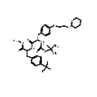 COC(=O)C(Cc1ccc(C(F)(F)F)cc1)NC(=O)[C@H](Cc1ccc(OCCOC2CCCCO2)cc1)NC(=O)OC(C)(C)C